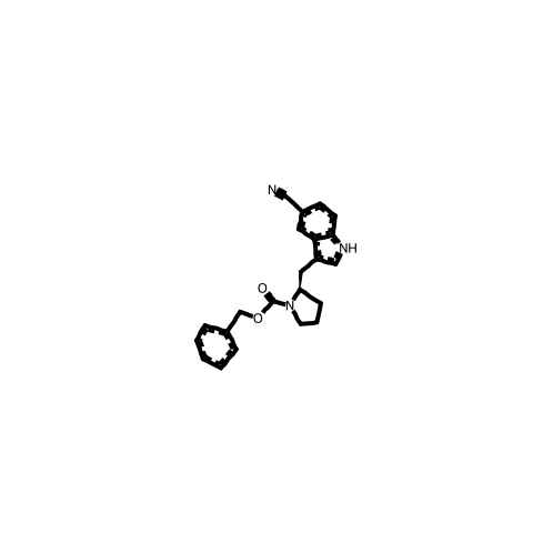 N#Cc1ccc2[nH]cc(C[C@H]3CCCN3C(=O)OCc3ccccc3)c2c1